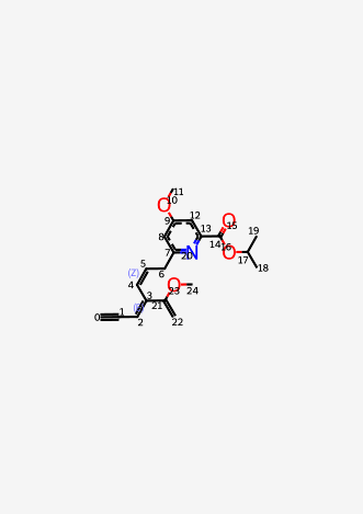 C#C/C=C(\C=C/Cc1cc(OC)cc(C(=O)OC(C)C)n1)C(=C)OC